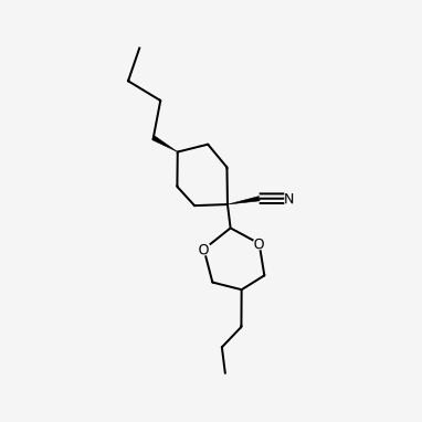 CCCC[C@H]1CC[C@](C#N)(C2OCC(CCC)CO2)CC1